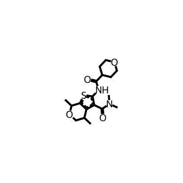 CC1COC(C)c2sc(NC(=O)C3CCOCC3)c(C(=O)N(C)C)c21